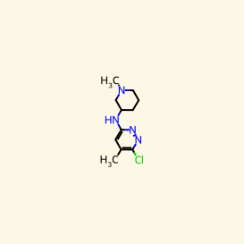 Cc1cc(NC2CCCN(C)C2)nnc1Cl